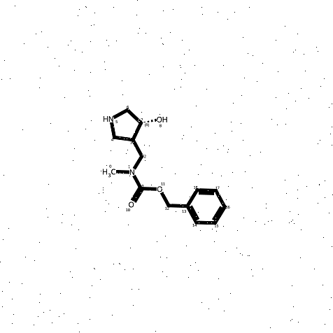 CN(CC1CNC[C@@H]1O)C(=O)OCc1ccccc1